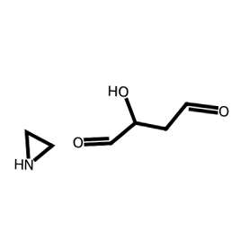 C1CN1.O=CCC(O)C=O